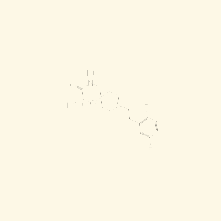 CCN1CC2(CCN(CCc3cc(F)ccc3F)CC2)O[C@H](C)C1=O